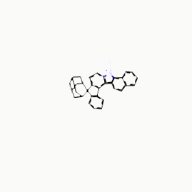 c1ccc2c(c1)-c1c(ccc3[nH]c4c5ccccc5ccc4c13)C21C2CC3CC(C2)CC1C3